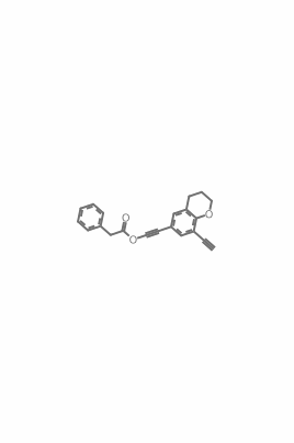 C#Cc1cc(C#COC(=O)Cc2ccccc2)cc2c1OCCC2